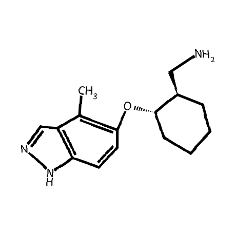 Cc1c(O[C@H]2CCCC[C@@H]2CN)ccc2[nH]ncc12